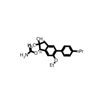 CCCc1ccc(-c2cc3c(cc2OCC)[C@H](OC(N)=O)C(C)(C)C3)cc1